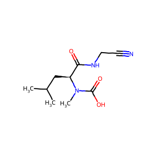 CC(C)C[C@@H](C(=O)NCC#N)N(C)C(=O)O